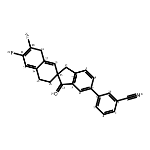 N#Cc1cccc(-c2ccc3c(c2)C(=O)C2(C=C4CC(F)=C(F)C=C4CC2)C3)c1